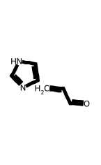 C=CC=O.c1c[nH]cn1